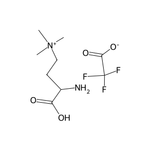 C[N+](C)(C)CCC(N)C(=O)O.O=C([O-])C(F)(F)F